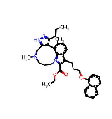 CCCc1n[nH]c2c1-c1c(C)ccc3c(CCCOc4cccc5ccccc45)c(C(=O)OCC)n(c13)CCCN(C)C2